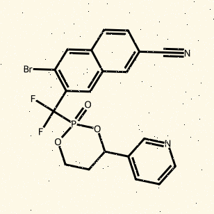 N#Cc1ccc2cc(Br)c(C(F)(F)P3(=O)OCCC(c4cccnc4)O3)cc2c1